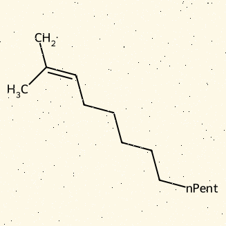 [CH2]C(C)=CCCCCCCCCCC